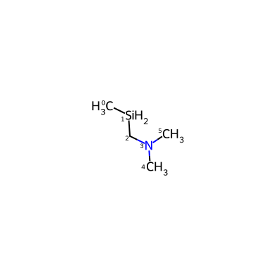 C[SiH2]CN(C)C